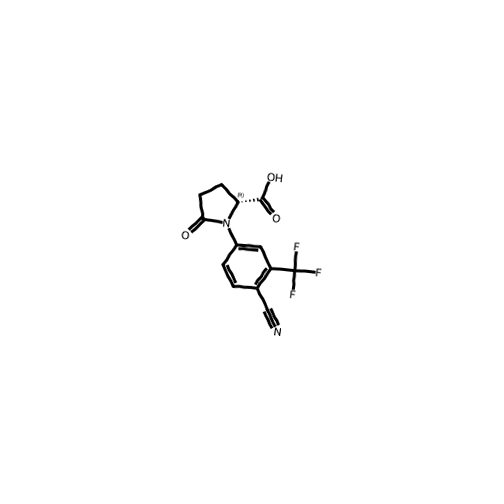 N#Cc1ccc(N2C(=O)CC[C@@H]2C(=O)O)cc1C(F)(F)F